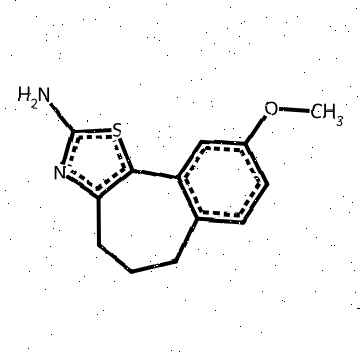 COc1ccc2c(c1)-c1sc(N)nc1CCC2